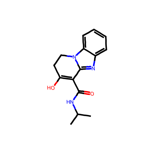 CC(C)NC(=O)C1=C(O)CCn2c1nc1ccccc12